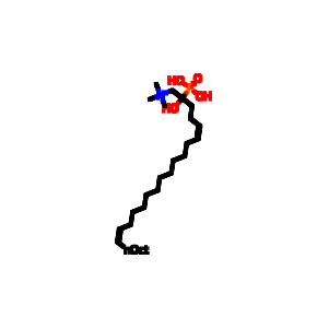 CCCCCCCC/C=C\CCCCCCCCCC/C=C\CCC(O)(C[N+](C)(C)C)P(=O)(O)O